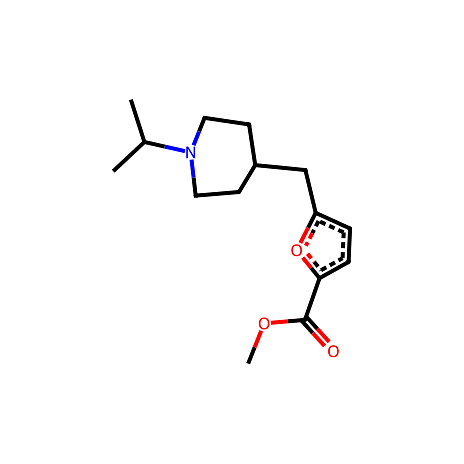 COC(=O)c1ccc(CC2CCN(C(C)C)CC2)o1